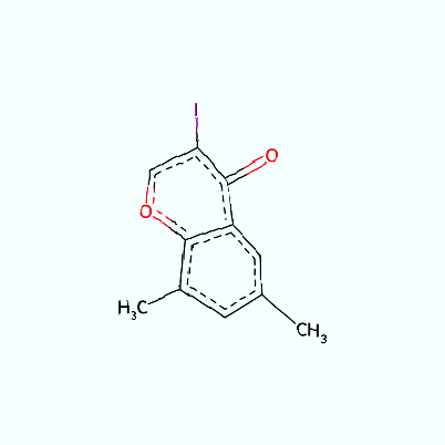 Cc1cc(C)c2occ(I)c(=O)c2c1